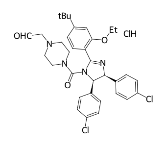 CCOc1cc(C(C)(C)C)ccc1C1=N[C@@H](c2ccc(Cl)cc2)[C@@H](c2ccc(Cl)cc2)N1C(=O)N1CCN(CC=O)CC1.Cl